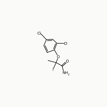 CC(I)(Oc1ccc(Cl)cc1Cl)C(N)=O